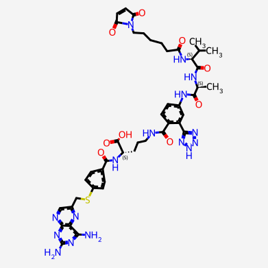 CC(C)[C@H](NC(=O)CCCCCN1C(=O)C=CC1=O)C(=O)N[C@@H](C)C(=O)Nc1ccc(C(=O)NCCC[C@H](NC(=O)c2ccc(SCc3cnc4nc(N)nc(N)c4n3)cc2)C(=O)O)c(-c2nn[nH]n2)c1